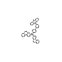 c1cc(-c2ccc(N(c3ccc4c(ccc5ccccc54)c3)c3ccc4c(ccc5ccccc54)c3)cc2)cc(N2c3ccccc3Sc3ccccc32)c1